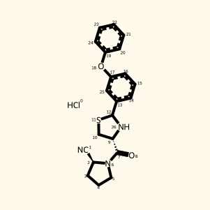 Cl.N#C[C@@H]1CCCN1C(=O)[C@@H]1CSC(c2cccc(Oc3ccccc3)c2)N1